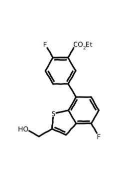 CCOC(=O)c1cc(-c2ccc(F)c3cc(CO)sc23)ccc1F